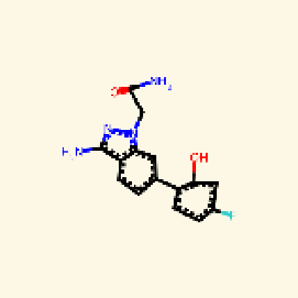 NC(=O)Cn1nc(N)c2ccc(-c3ccc(F)cc3O)cc21